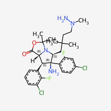 CN(N)CCC(C)(C)C[C@@H]1N2[C@@H](C(=O)OC2(C)C)[C@H](c2cccc(Cl)c2F)[C@@]1(N)c1ccc(Cl)cc1F